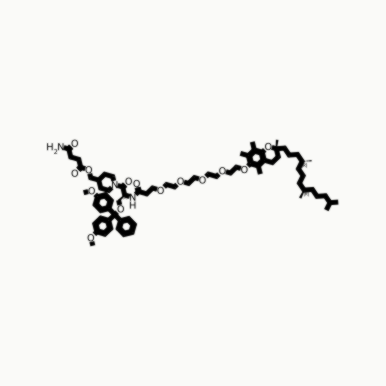 COc1ccc(C(OC[C@H](NC(=O)CCOCCOCCOCCOCCOc2c(C)c(C)c3c(c2C)CC[C@@](C)(CCC[C@H](C)CCC[C@H](C)CCCC(C)C)O3)C(=O)N2CCC(COC(=O)CCC(N)=O)CC2)(c2ccccc2)c2ccc(OC)cc2)cc1